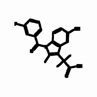 Cc1c(C(C)(C)C(=O)O)c2cc(O)ccc2n1C(=O)c1cccc(F)c1